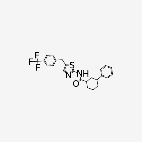 O=C(Nc1ncc(Cc2ccc(C(F)(F)F)cc2)s1)C1CCCC(c2ccccc2)C1